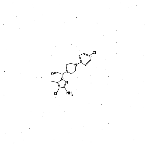 Cc1c(Cl)c(N)nn1C(C=O)N1CCN(c2ccc(Cl)cc2)CC1